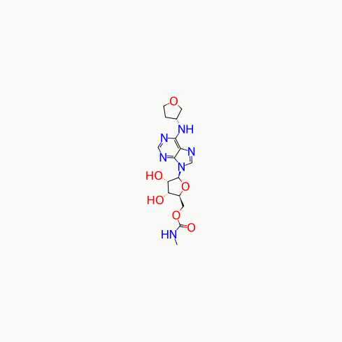 CNC(=O)OC[C@@H]1O[C@H](n2cnc3c(N[C@@H]4CCOC4)ncnc32)[C@@H](O)[C@H]1O